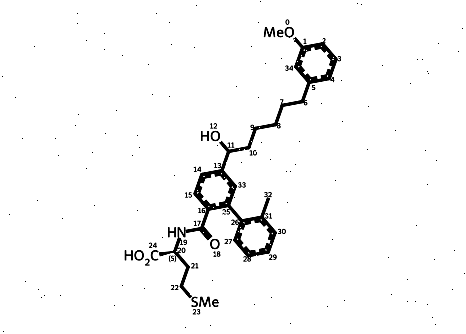 COc1cccc(CCCCCC(O)c2ccc(C(=O)N[C@@H](CCSC)C(=O)O)c(-c3ccccc3C)c2)c1